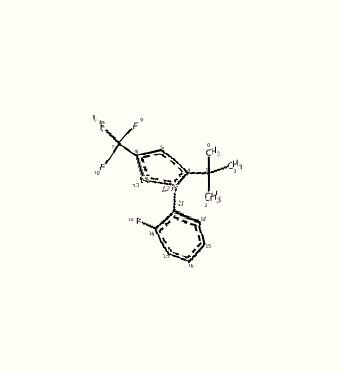 CC(C)(C)c1cc(C(F)(F)F)nn1-c1ccccc1F